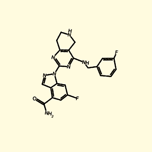 NC(=O)c1cc(F)cc2c1cnn2-c1nc2c(c(NCc3cccc(F)c3)n1)CNCC2